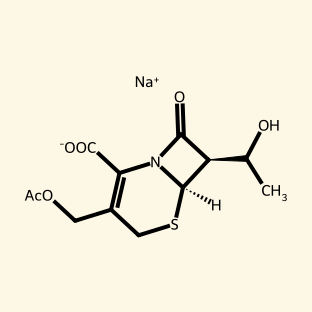 CC(=O)OCC1=C(C(=O)[O-])N2C(=O)[C@@H](C(C)O)[C@H]2SC1.[Na+]